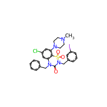 CN1CCN(c2cc(Cl)cc3c2S(=O)(=O)N(Cc2cccc(I)c2)C(=O)N3Cc2ccccc2)CC1